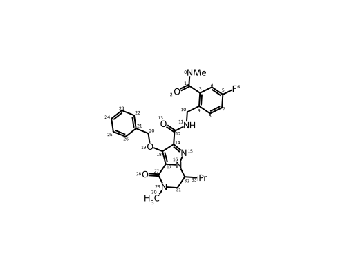 CNC(=O)c1cc(F)ccc1CNC(=O)c1nn2c(c1OCc1ccccc1)C(=O)N(C)CC2C(C)C